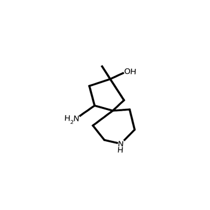 CC1(O)CC(N)C2(CCNCC2)C1